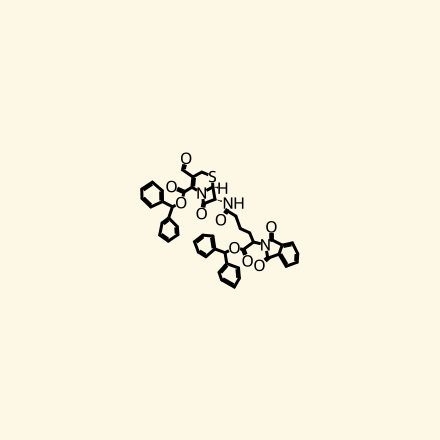 O=CC1=C(C(=O)OC(c2ccccc2)c2ccccc2)N2C(=O)[C@@H](NC(=O)CCCC(C(=O)OC(c3ccccc3)c3ccccc3)N3C(=O)c4ccccc4C3=O)[C@@H]2SC1